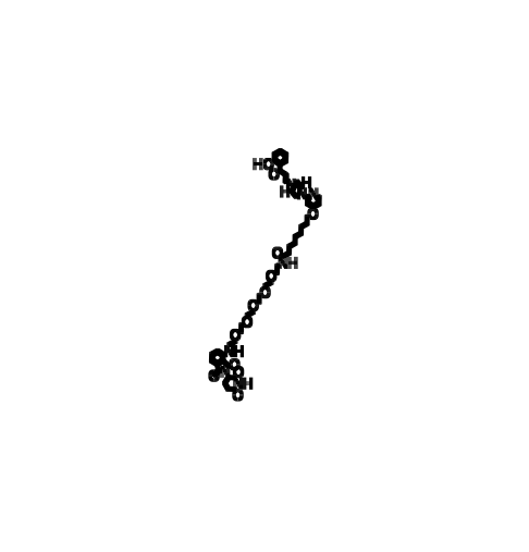 O=C(CCCCCCCCOc1ccnc(N2C[C@H]3C[C@@H]2CN3/C=C/C(=O)c2ccccc2O)c1)NCCOCCOCCOCCOCCOCCNc1cccc2c1C(=O)N(C1CCC(=O)NC1=O)C2=O